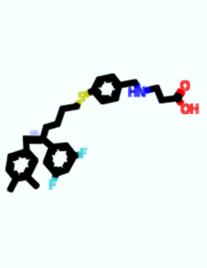 Cc1ccc(/C=C(/CCCCSc2ccc(CNCCC(=O)O)cc2)c2cc(F)cc(F)c2)cc1C